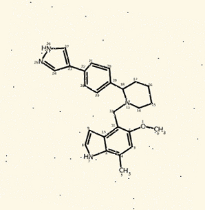 COc1cc(C)c2[nH]ccc2c1CN1CCCCC1c1ccc(-c2cn[nH]c2)cc1